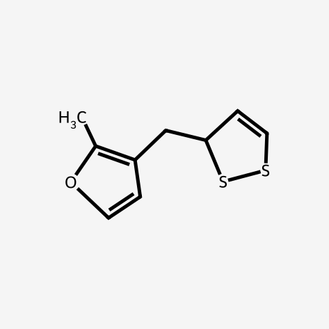 Cc1occc1CC1C=CSS1